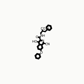 N#Cc1nc(C(=O)NCC(Cc2ccccc2)C(=O)O)c(O)c2ccc(Oc3ccccc3)cc12